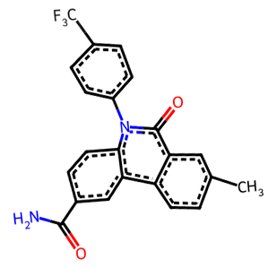 Cc1ccc2c(c1)c(=O)n(-c1ccc(C(F)(F)F)cc1)c1ccc(C(N)=O)cc21